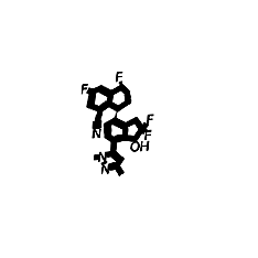 Cc1cc(-c2ccc([C@H]3CC[C@H](F)c4cc(F)cc(C#N)c43)c3c2[C@H](O)C(F)(F)C3)n(C)n1